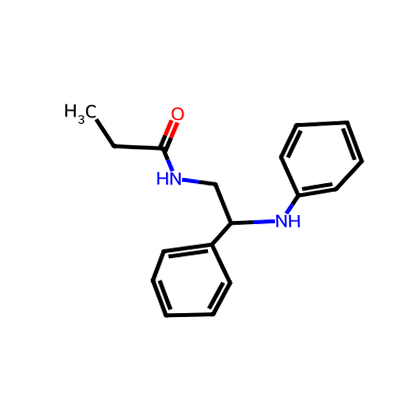 CCC(=O)NCC(Nc1ccccc1)c1ccccc1